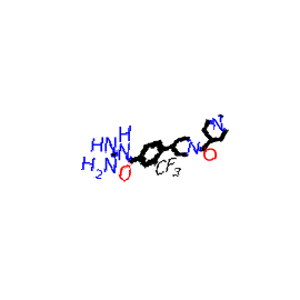 CN1CCC(C(=O)N2CCC(c3ccc(C(=O)NC(=N)N)cc3C(F)(F)F)CC2)CC1